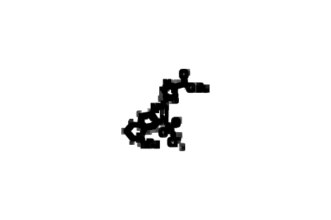 CCCCN1CCCc2cc(N=Nc3nnc(C(=O)OCC(C)C)s3)c(NS(=O)(=O)CC(F)(F)F)cc21